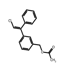 CC(=O)OCc1cccc(C(=CCl)c2ccccc2)c1